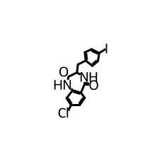 O=C1NC(Cc2ccc(I)cc2)C(=O)Nc2cc(Cl)ccc21